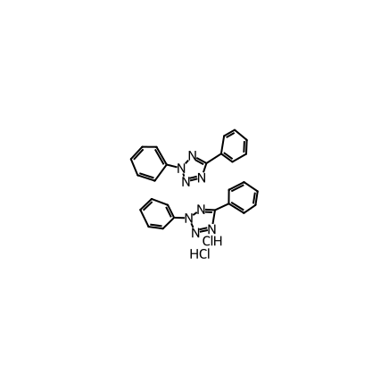 Cl.Cl.c1ccc(-c2nnn(-c3ccccc3)n2)cc1.c1ccc(-c2nnn(-c3ccccc3)n2)cc1